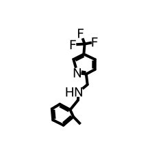 Cc1ccccc1CNCc1ccc(C(F)(F)F)cn1